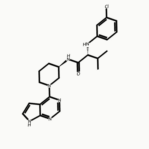 CC(C)[C@@H](Nc1cccc(Cl)c1)C(=O)N[C@@H]1CCCN(c2ncnc3[nH]ccc23)C1